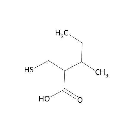 CCC(C)C(CS)C(=O)O